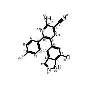 N#Cc1nc(-c2cc(Cl)c3[nH]ncc3c2)c(-c2ccc(F)cc2)nc1N